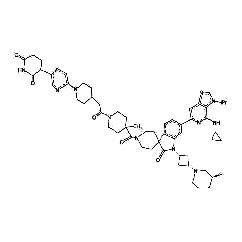 CC(C)n1cnc2cc(-c3ccc4c(c3)N([C@H]3C[C@@H](N5CCC[C@H](F)C5)C3)C(=O)C43CCN(C(=O)C4(C)CCN(C(=O)CC5CCN(c6ccc(C7CCC(=O)NC7=O)cn6)CC5)CC4)CC3)nc(NC3CC3)c21